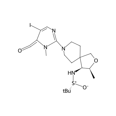 C[C@@H]1OCC2(CCN(C3=NC=C(I)C(=C=O)N3C)CC2)[C@@H]1N[S@+]([O-])C(C)(C)C